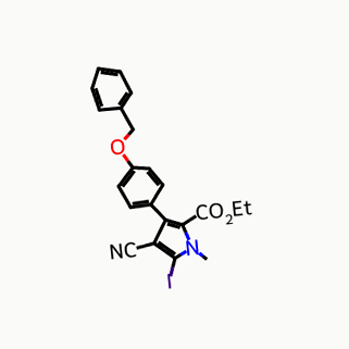 CCOC(=O)c1c(-c2ccc(OCc3ccccc3)cc2)c(C#N)c(I)n1C